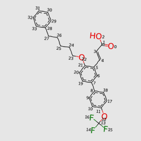 O=C(O)/C=C/c1cc(-c2ccc(OC(F)(F)F)cc2)ccc1OCCCCCc1ccccc1